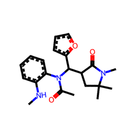 CNc1ccccc1N(C(C)=O)C(c1ccco1)C1CC(C)(C)N(C)C1=O